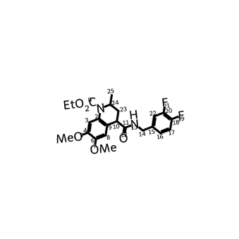 CCOC(=O)N1c2cc(OC)c(OC)cc2C(C(=O)NCc2ccc(F)c(F)c2)CC1C